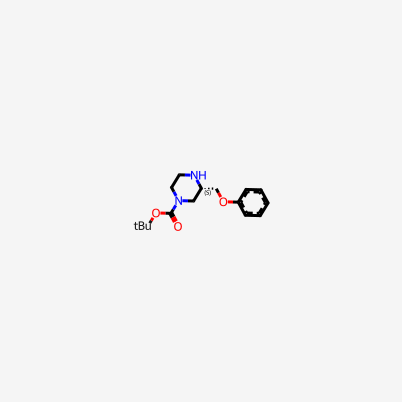 CC(C)(C)OC(=O)N1CCN[C@H](COc2ccccc2)C1